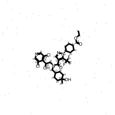 CCOC(=O)[C@H]1CC[C@H](n2ncc(C(=O)N(CC3CCC(C)(O)CC3)CC(O)c3c(Cl)cncc3Cl)c2C(F)(F)F)CC1